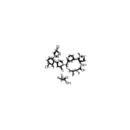 C[C@@H]1C(=O)Nc2cnn(C)c2-c2ccnc(c2)[C@@H](n2cnc(-c3c(-n4cc(Cl)nn4)ccc(Cl)c3F)cc2=O)CCC1F.O=C(O)C(F)(F)F